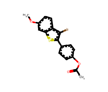 COc1ccc2c(Br)c(-c3ccc(OC(C)=O)cc3)sc2c1